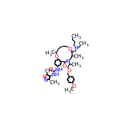 CCCCN(CC)C[C@@H]1OCCCCC(C)Oc2ccc(NC(=O)Nc3c(C)noc3C)cc2C(=O)N(C(C)COCc2ccc(OC)cc2)C[C@H]1C